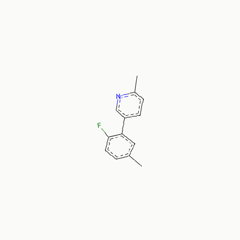 Cc1ccc(F)c(-c2ccc(C)nc2)c1